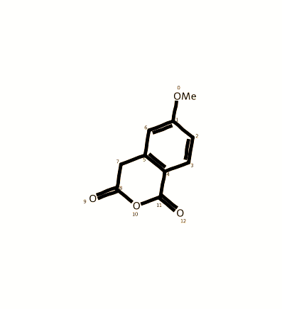 COc1ccc2c(c1)CC(=O)OC2=O